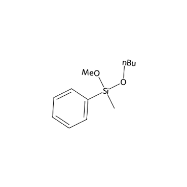 CCCCO[Si](C)(OC)c1ccccc1